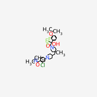 CC(C)Oc1cccc([C@@](O)(C(=O)N2CCC(C)(CC3CCN(c4ccc(C(=O)N(C)C)c(Cl)c4)CC3)CC2)C(F)(F)F)c1